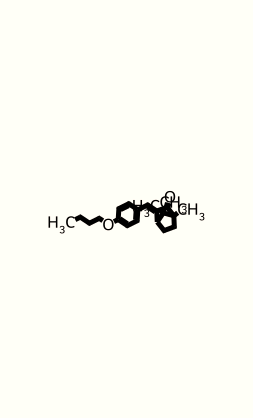 CCCCOc1ccc(C=C2C(=O)C3(C)CCC2C3(C)C)cc1